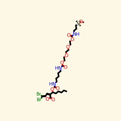 CCCCCC(OC(=O)NCCCCCNC(=O)OCCOCCOCCOC(=O)NCCC[Si](C)(C)OC)C1=CC(=C(Br)Br)OC1=O